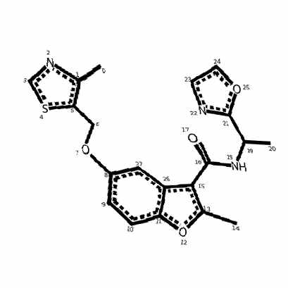 Cc1ncsc1COc1ccc2oc(C)c(C(=O)NC(C)c3ncco3)c2c1